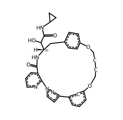 O=C1N[C@H](C(O)C(=O)NC2CC2)Cc2ccc(cc2)OCCCCOc2cccc(c2)-c2ccn(n2)-c2ncccc21